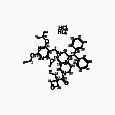 CCOc1nc(OC)c(CN2CC3CN(C(=O)C4(CC)COC4)CCN3C(C(c3ccccc3)c3ccccc3)C2)c(OC(C)C)n1.Cl.Cl